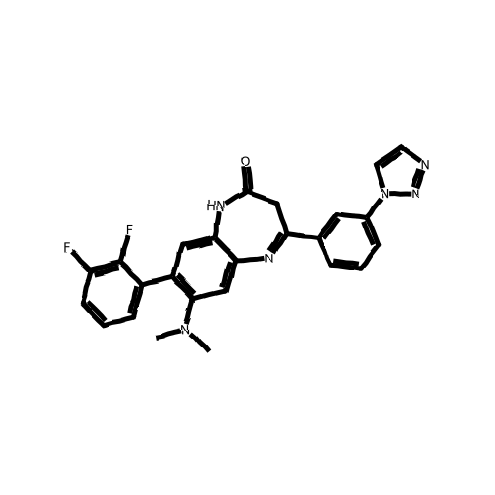 CN(C)c1cc2c(cc1-c1cccc(F)c1F)NC(=O)CC(c1cccc(-n3ccnn3)c1)=N2